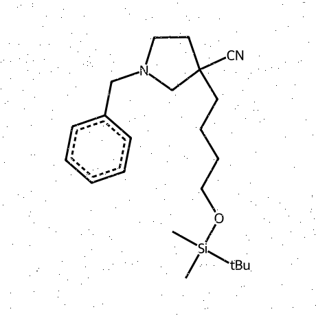 CC(C)(C)[Si](C)(C)OCCCCC1(C#N)CCN(Cc2ccccc2)C1